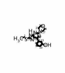 CCSc1nc2c(-c3cccc(O)c3)nc(N3CCOCC3)nc2[nH]1